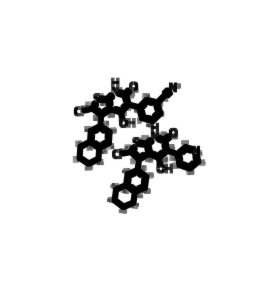 N#Cc1cccc(-c2c(O)c3c(-c4ccc5c(c4)CCCC5)c(Cl)sc3[nH]c2=O)c1.O=c1[nH]c2sc(Cl)c(-c3ccc4c(c3)CCCC4)c2c(O)c1-c1cccnc1